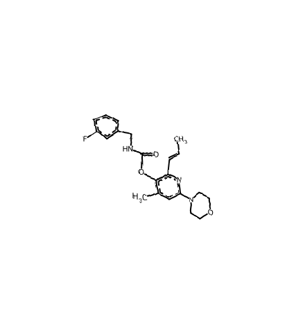 C/C=C/c1nc(N2CCOCC2)cc(C)c1OC(=O)NCc1cccc(F)c1